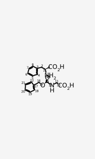 N[C@@H](Cc1ccccc1)C(=O)O.O=C(O)CNC(=O)OCc1ccccc1